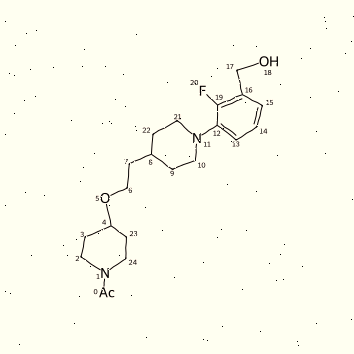 CC(=O)N1CCC(OCCC2CCN(c3cccc(CO)c3F)CC2)CC1